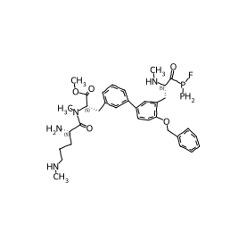 CNCCC[C@H](N)C(=O)N(C)[C@@H](Cc1cccc(-c2ccc(OCc3ccccc3)c(C[C@H](NC)C(=O)P(F)P)c2)c1)C(=O)OC